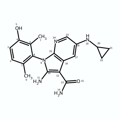 Cc1ccc(O)c(C)c1-n1c(N)c(C(N)=O)c2cc(NC3CC3)cnc21